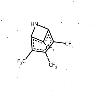 FC(F)(F)c1c2c(C(F)(F)F)c(C(F)(F)F)c(C(F)(F)F)c1N2